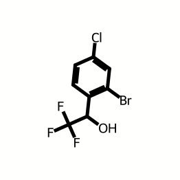 OC(c1ccc(Cl)cc1Br)C(F)(F)F